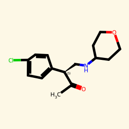 CC(=O)[C@H](CNC1CCOCC1)c1ccc(Cl)cc1